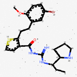 CCC(NC(=N)NC(=O)c1ccsc1CCc1cc(Br)ccc1OC)C1CCCN1